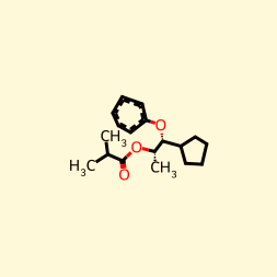 CC(C)C(=O)O[C@@H](C)[C@H](Oc1ccccc1)C1CCCC1